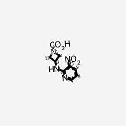 O=C(O)N1CC(Nc2ncccc2[N+](=O)[O-])C1